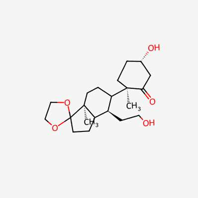 C[C@]1(C2CC[C@@]3(C)C(CCC34OCCO4)[C@@H]2CCO)CC[C@H](O)CC1=O